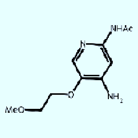 COCCOc1cnc(NC(C)=O)cc1N